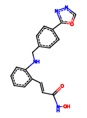 O=C(C=Cc1ccccc1NCc1ccc(-c2nnco2)cc1)NO